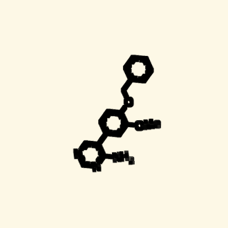 COc1cc(-c2cncnc2N)ccc1OCc1ccccc1